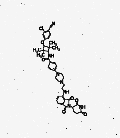 CC1(C)C(NC(=O)c2ccc(N3CCN(CCNc4cccc5c4C(=O)N(C4CCC(=O)NC4=O)C5=O)CC3)cc2)C(C)(C)C1Oc1ccc(C#N)c(Cl)c1